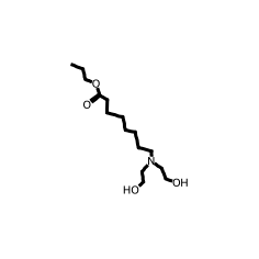 CCCOC(=O)CCCCCCCN(CCO)CCO